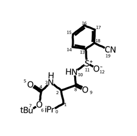 CC(C)CC(NC(=O)OC(C)(C)C)C(=O)N[S+]([O-])c1ccccc1C#N